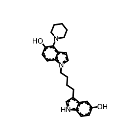 Oc1ccc2[nH]cc(CCCCn3ccc4c(N5CCCCC5)c(O)ccc43)c2c1